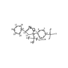 CC(C)(C)c1ccc(C2(C(F)(F)F)CC(c3cc[c]cc3)=NO2)cc1